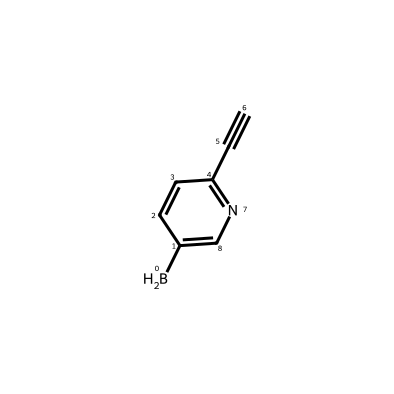 Bc1ccc(C#C)nc1